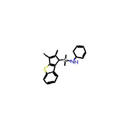 CC1=C(C)C([Si](C)(C)NC2C=CC=CC2)c2c1sc1ccccc21